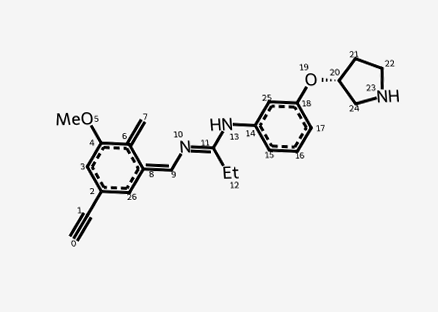 C#Cc1cc(OC)c(=C)/c(=C\N=C(/CC)Nc2cccc(O[C@@H]3CCNC3)c2)c1